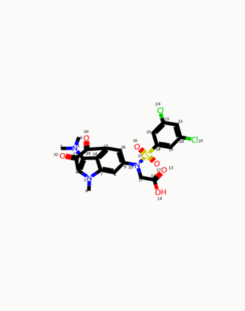 CN(C)c1c2n(C)c3cc(N(CC(=O)O)S(=O)(=O)c4cc(Cl)cc(Cl)c4)cc(c13)C(=O)C2=O